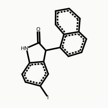 O=C1Nc2ccc(I)cc2C1c1cccc2ccccc12